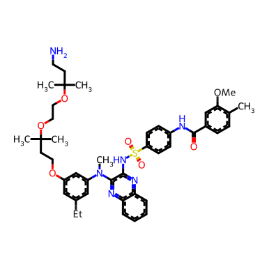 CCc1cc(OCCC(C)(C)OCCOC(C)(C)CCN)cc(N(C)c2nc3ccccc3nc2NS(=O)(=O)c2ccc(NC(=O)c3ccc(C)c(OC)c3)cc2)c1